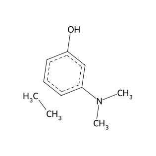 CC.CN(C)c1cccc(O)c1